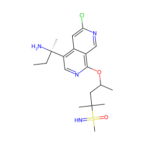 CC[C@@](C)(N)c1cnc(OC(C)CC(C)(C)S(C)(=N)=O)c2cnc(Cl)cc12